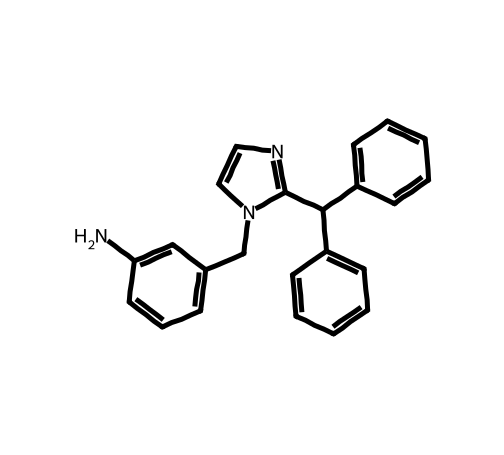 Nc1cccc(Cn2ccnc2C(c2ccccc2)c2ccccc2)c1